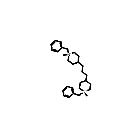 C[N+]1(Cc2ccccc2)CCC(CCCC2CC[N+](C)(Cc3ccccc3)CC2)CC1